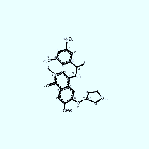 COc1cc2c(=O)n(C)nc(NC(C)c3cc([N+](=O)[O-])cc(C(F)(F)F)c3)c2cc1O[C@H]1CCOC1